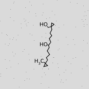 CC1(CCCCCC(O)CCCCCC2(CO)CC2)CC1